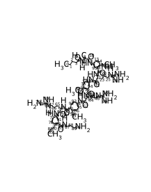 CCCCC(=O)N[C@H](C)C(=O)Nc1ccc(NC)c(C(=O)N[C@H](CCCNC(=N)N)C(=O)Nc2ccc(OC)c(C(=O)N[C@H](CCCNC(=N)N)C(=O)NC3=CC=C(CC)C(C(=O)N[C@H](CCCNC(=N)CN)C(=O)Nc4ccc(CCC)c(C(=O)NCCCN)c4)C=C3)c2)c1